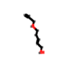 C#CCOCC/C=C/CO